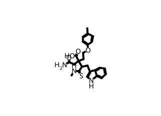 CNC(=S)C(Cc1c[nH]c2ccccc12)C(CCOc1ccc(C)cc1)(CC(N)=O)C(=O)O